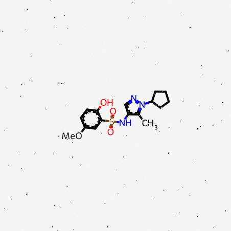 COc1ccc(O)c(S(=O)(=O)Nc2cnn(C3CCCC3)c2C)c1